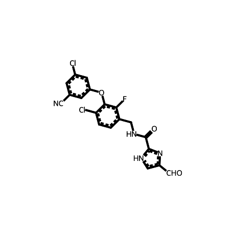 N#Cc1cc(Cl)cc(Oc2c(Cl)ccc(CNC(=O)c3nc(C=O)c[nH]3)c2F)c1